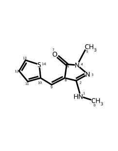 CNC1=NN(C)C(=O)/C1=C\c1cccs1